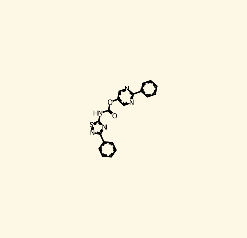 O=C(Nc1nc(-c2ccccc2)ns1)Oc1cnc(-c2ccccc2)nc1